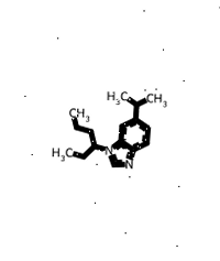 CCCC(CC)n1cnc2ccc(C(C)C)cc21